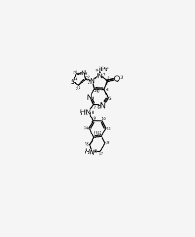 CC(C)n1c(=O)c2cnc(Nc3ccc4c(c3)CNCC4)nc2n1-c1cscn1